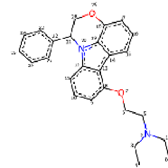 CCN(CC)CCOc1cccc2c1c1cccc3c1n2C(c1ccccc1)CO3